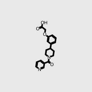 O=C(O)COc1cccc(C2CCN(C(=O)c3cccnc3)CC2)c1